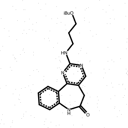 CC(C)COCCCNc1ncc2c(n1)-c1ccccc1NC(=O)C2